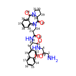 NC[C@@H](O)CNC(=O)C(Cc1ccc2ccccc2c1)NC(=O)CCN1C(=O)C2CCCN2C(=O)c2ccccc21